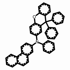 c1ccc(N(c2ccc3c(c2)C(c2ccccc2)(c2ccccc2)c2ccccc2O3)c2ccc3c(ccc4ccccc43)c2)cc1